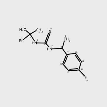 CCC(C)(C)NC(=S)NC(C)c1ccc(F)cc1